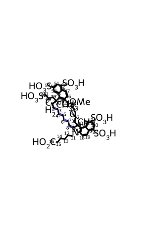 C=C(/C=C/C=C/C=C/C=C1/N(CCCCCC(=O)O)c2ccc3c(S(=O)(=O)O)cc(S(=O)(=O)O)cc3c2C1(C)CCOCCOC)C(C)(CCCS(=O)(=O)O)c1c(C)ccc2c(S(=O)(=O)O)cc(S(=O)(=O)O)cc12